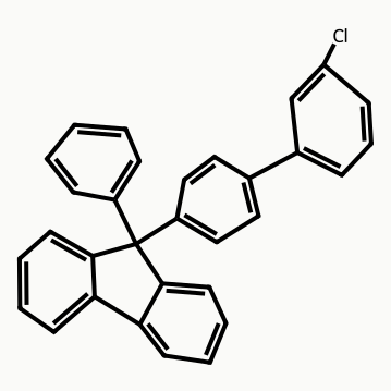 Clc1cccc(-c2ccc(C3(c4ccccc4)c4ccccc4-c4ccccc43)cc2)c1